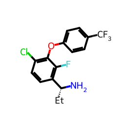 CC[C@@H](N)c1ccc(Cl)c(Oc2ccc(C(F)(F)F)cc2)c1F